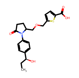 CC[C@H](O)c1ccc(N2C(=O)CCC2COCc2ccc(C(=O)O)s2)cc1